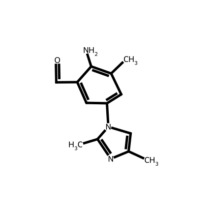 Cc1cn(-c2cc(C)c(N)c(C=O)c2)c(C)n1